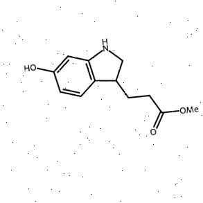 COC(=O)CCC1CNc2cc(O)ccc21